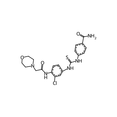 NC(=O)c1ccc(NC(=S)Nc2ccc(NC(=O)CN3CCOCC3)c(Cl)c2)cc1